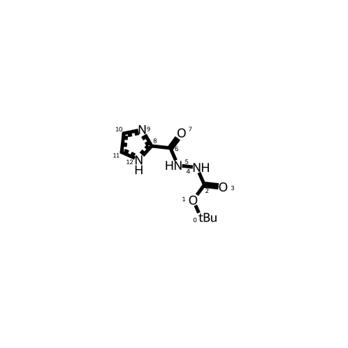 CC(C)(C)OC(=O)NNC(=O)c1ncc[nH]1